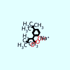 CC(C)(C)CC(C(=O)[O-])c1cc(C(C)(C)C)ccc1O.[Na+]